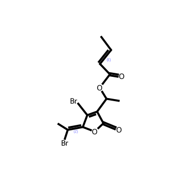 C/C=C/C(=O)OC(C)C1=C(Br)/C(=C(\C)Br)OC1=O